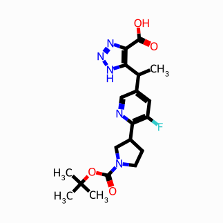 CC(c1cnc(C2CCN(C(=O)OC(C)(C)C)C2)c(F)c1)c1[nH]nnc1C(=O)O